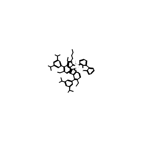 CCCCC1=Cc2c(ccc(CC)c2-c2cc(C(C)C)cc(C(C)C)c2)[CH]1[Zr]([Cl])([Cl])([c]1cccc2c1[SiH2]c1ccccc1-2)[CH]1C(CCCC)=Cc2c1ccc(CC)c2-c1cc(C(C)C)cc(C(C)C)c1